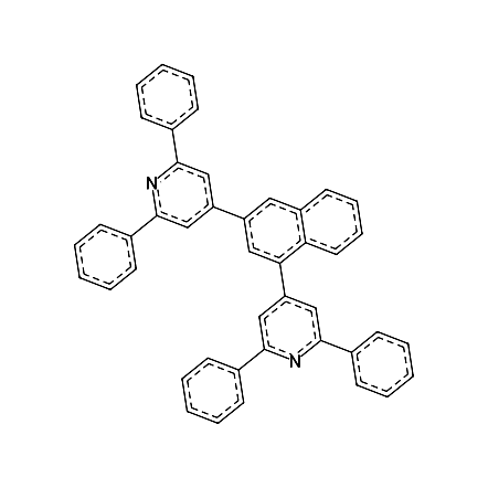 c1ccc(-c2cc(-c3cc(-c4cc(-c5ccccc5)nc(-c5ccccc5)c4)c4ccccc4c3)cc(-c3ccccc3)n2)cc1